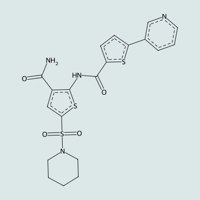 NC(=O)c1cc(S(=O)(=O)N2CCCCC2)sc1NC(=O)c1ccc(-c2cccnc2)s1